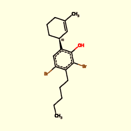 CCCCCc1c(Br)cc([C@@H]2C=C(C)CCC2)c(O)c1Br